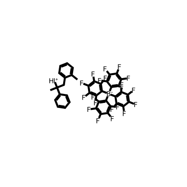 Cc1ccccc1CC(C)([IH+])c1ccccc1.Fc1c(F)c(F)c([B-](c2c(F)c(F)c(F)c(F)c2F)(c2c(F)c(F)c(F)c(F)c2F)c2c(F)c(F)c(F)c(F)c2F)c(F)c1F